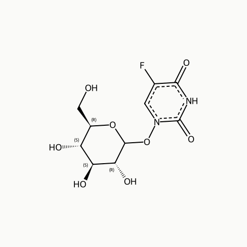 O=c1[nH]c(=O)n(OC2O[C@H](CO)[C@@H](O)[C@H](O)[C@H]2O)cc1F